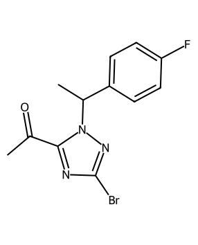 CC(=O)c1nc(Br)nn1C(C)c1ccc(F)cc1